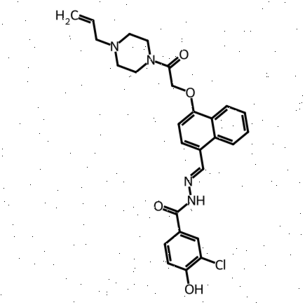 C=CCN1CCN(C(=O)COc2ccc(/C=N/NC(=O)c3ccc(O)c(Cl)c3)c3ccccc23)CC1